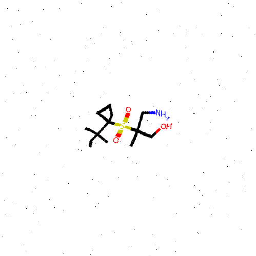 CC(C)(C)C1(S(=O)(=O)C(C)(CN)CO)CC1